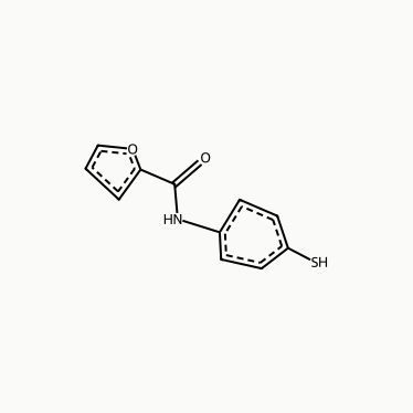 O=C(Nc1ccc(S)cc1)c1ccco1